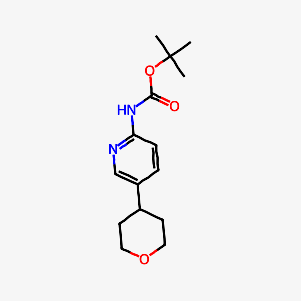 CC(C)(C)OC(=O)Nc1ccc(C2CCOCC2)cn1